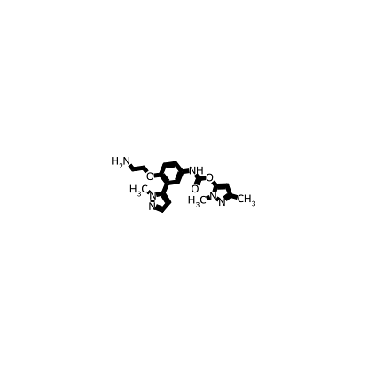 Cc1cc(OC(=O)Nc2ccc(OCCN)c(-c3ccnn3C)c2)n(C)n1